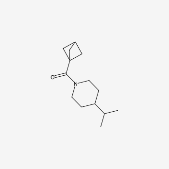 CC(C)C1CCN(C(=O)C23CC(C2)C3)CC1